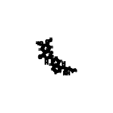 CCCC(=N)Nc1cccc2c1CCN(c1nc3cc(OC)c(OC)cc3c(=O)[nH]1)C2